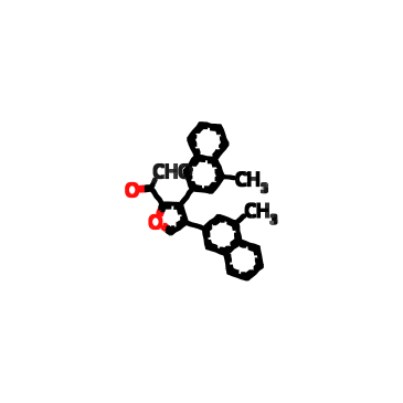 Cc1cc(-c2coc(C(=O)C=O)c2-c2cc(C)c3ccccc3c2)cc2ccccc12